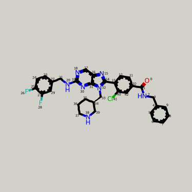 O=C(NCc1ccccc1)c1ccc(-c2nc3cnc(NCc4ccc(F)c(F)c4)nc3n2C[C@@H]2CCCNC2)c(Cl)c1